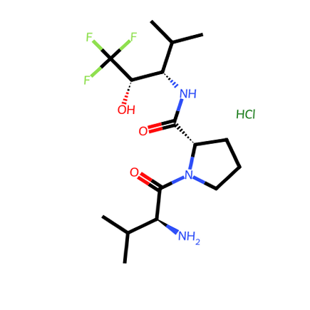 CC(C)[C@H](N)C(=O)N1CCC[C@H]1C(=O)N[C@@H](C(C)C)[C@H](O)C(F)(F)F.Cl